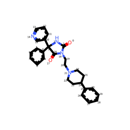 O=C1NC(c2ccccc2)(c2cccnc2)C(=O)N1CCN1CCC(c2ccccc2)CC1